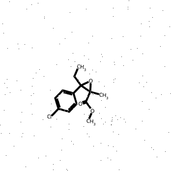 CCC1(c2ccc(Cl)cc2)OC1(C)C(=O)OC